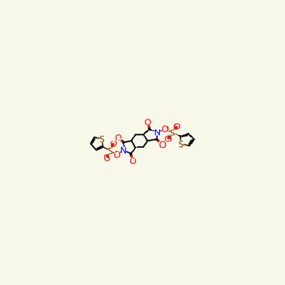 O=C1C2CC3C(=O)N(OS(=O)(=O)c4cccs4)C(=O)C3CC2C(=O)N1OS(=O)(=O)c1cccs1